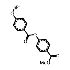 CCCOc1ccc(C(=O)Oc2ccc(C(=O)OC)cc2)cc1